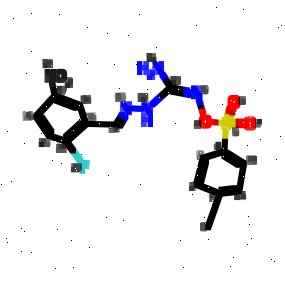 Cc1ccc(S(=O)(=O)ON=C(N)NN=Cc2cc([N+](=O)[O-])ccc2F)cc1